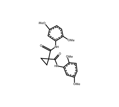 COc1ccc(OC)c(NC(=O)C2(C(=O)Nc3cc(OC)ccc3OC)CC2)c1